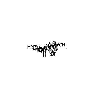 CCOC(=O)c1c(C)c2nnc(Nc3ccc(N4CCNCC4)cc3)nc2n(C2CCCC2)c1=O